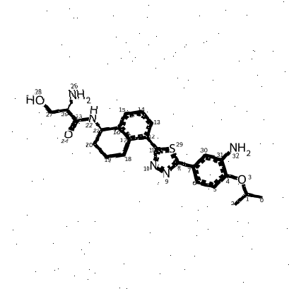 CC(C)Oc1ccc(-c2nnc(-c3cccc4c3CCC[C@H]4NC(=O)[C@H](N)CO)s2)cc1N